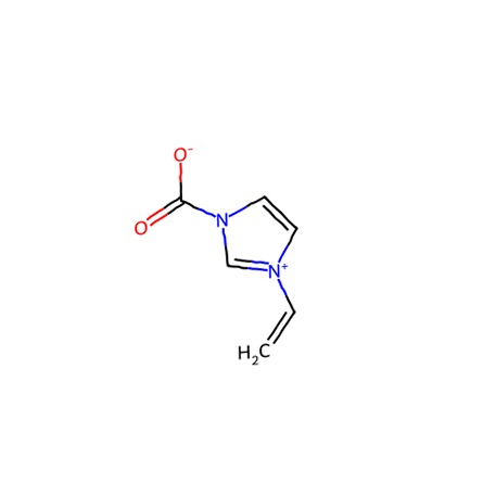 C=C[n+]1ccn(C(=O)[O-])c1